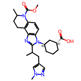 COC(=O)N1c2ccc3c(nc(C(C)Cc4cnn(C)c4)n3[C@@H]3CCC[C@@H](C(=O)O)C3)c2CCC1C